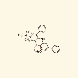 CC(C)(C)c1cc(-c2ccccc2)c(Nc2cc(O)cc(-c3ccccc3)c2)c(-c2ccccc2)c1